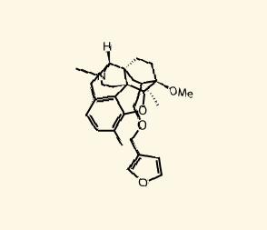 CO[C@]12CC[C@@]3(C[C@]1(C)COCc1ccoc1)[C@H]1Cc4ccc(C)c5c4[C@@]3(CCN1C)C2O5